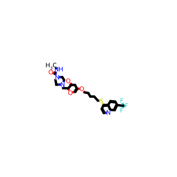 CNC(=O)N1CCN(CC2OC=C(OCCCCCSc3ccnc4cc(C(F)(F)F)ccc34)CC2=O)CC1